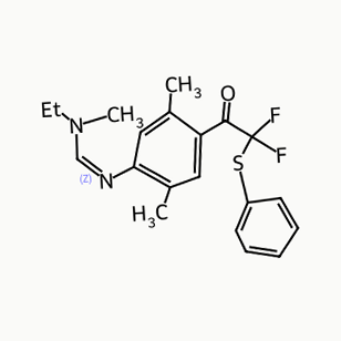 CCN(C)/C=N\c1cc(C)c(C(=O)C(F)(F)Sc2ccccc2)cc1C